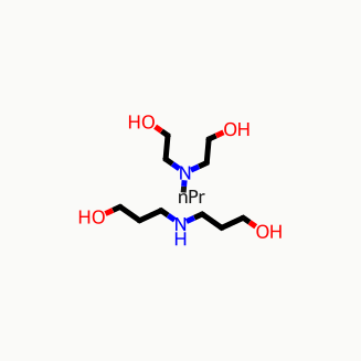 CCCN(CCO)CCO.OCCCNCCCO